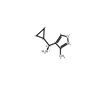 Cc1nocc1[C@@H](N)C1CC1